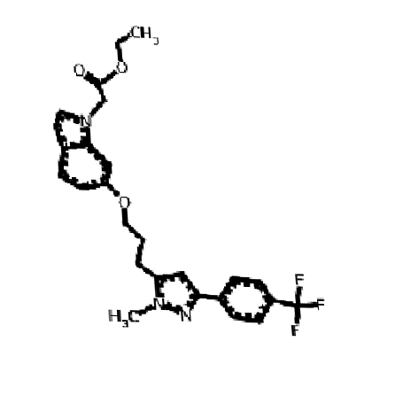 CCOC(=O)Cn1ccc2ccc(OCCCc3cc(-c4ccc(C(F)(F)F)cc4)nn3C)cc21